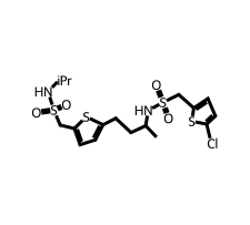 CC(C)NS(=O)(=O)Cc1ccc(CCC(C)NS(=O)(=O)Cc2ccc(Cl)s2)s1